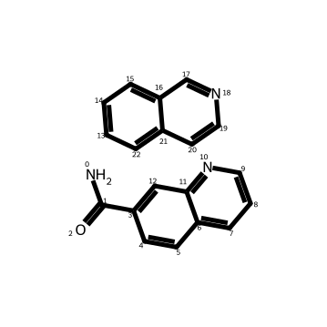 NC(=O)c1ccc2cccnc2c1.c1ccc2cnccc2c1